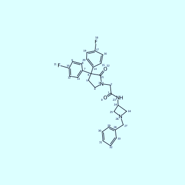 O=C(CN1CCC(c2ccc(F)cc2)(c2ccc(F)cc2)C1=O)NC1CN(Cc2ccccc2)C1